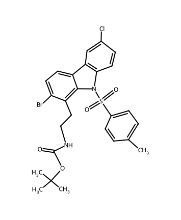 Cc1ccc(S(=O)(=O)n2c3ccc(Cl)cc3c3ccc(Br)c(CCNC(=O)OC(C)(C)C)c32)cc1